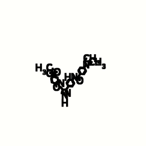 CCN(CC)c1ccc(C(=O)Nc2ccc(-c3n[nH]cc3-c3nc4cc(S(=O)(=O)CC)ccc4o3)cc2)cc1